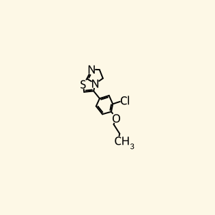 CCCOc1ccc(C2=CSC3=NCCN23)cc1Cl